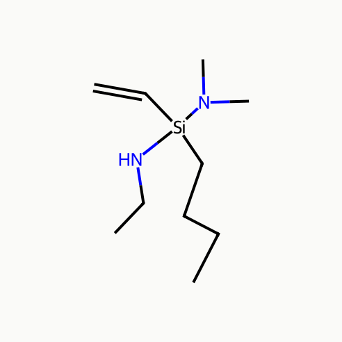 C=C[Si](CCCC)(NCC)N(C)C